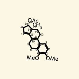 COc1ccc2c(c1OC)CCC1=C2CC[C@@]2(C)C1=CC[C@@H]2OC(C)=O